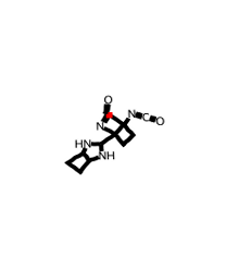 CC1(N=C=O)CCC1(N=C=O)C1NC2CCC2N1